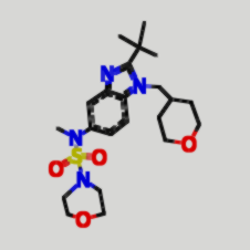 CN(c1ccc2c(c1)nc(C(C)(C)C)n2CC1CCOCC1)S(=O)(=O)N1CCOCC1